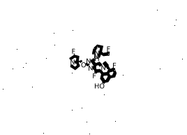 C#Cc1c(F)ccc2cc(O)cc(-c3ncc4c(N5CC6CCC(/C=C\F)(C5)N6)nc(OC[C@@]56CCCN5C[C@H](F)C6)nc4c3F)c12